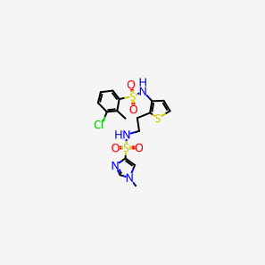 Cc1c(Cl)cccc1S(=O)(=O)Nc1ccsc1CCNS(=O)(=O)c1cn(C)cn1